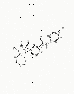 CN(C(=O)C1CCCCCC1)S(=O)(=O)c1cccc(C(=O)Nc2ccc(F)cc2)c1